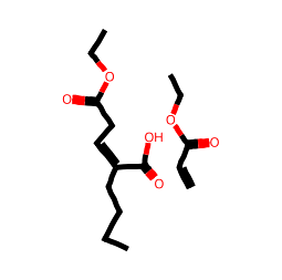 C=CC(=O)OCC.CCCCC(=CCC(=O)OCC)C(=O)O